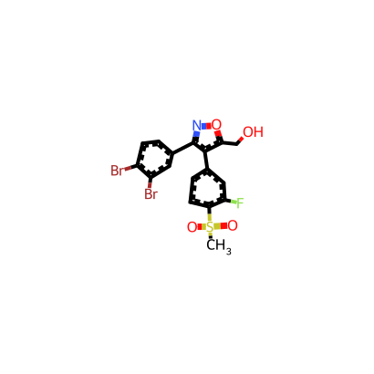 CS(=O)(=O)c1ccc(-c2c(-c3ccc(Br)c(Br)c3)noc2CO)cc1F